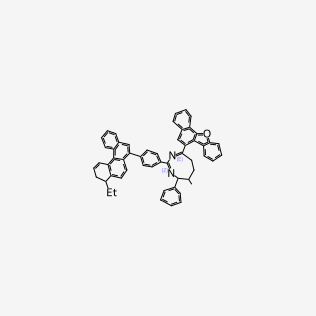 CCC1CC=Cc2c1ccc1c(-c3ccc(C4=N/C(c5ccccc5)C(C)CC/C(c5cc6ccccc6c6oc7ccccc7c56)=N\4)cc3)cc3ccccc3c21